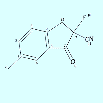 Cc1ccc2c(c1)C(=O)C(F)(C#N)C2